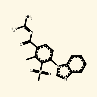 Cc1c(C(=O)N=C(N)N)ccc(-n2cnc3ccccc32)c1S(C)(=O)=O